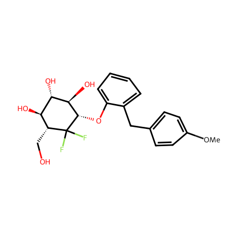 COc1ccc(Cc2ccccc2O[C@H]2[C@H](O)[C@@H](O)[C@H](O)[C@@H](CO)C2(F)F)cc1